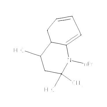 CCCN1C2=CC=CCC2C(C)CC1(C)C